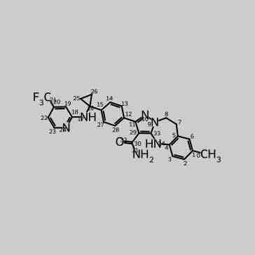 Cc1ccc2c(c1)CCn1nc(-c3ccc(C4(Nc5cc(C(F)(F)F)ccn5)CC4)cc3)c(C(N)=O)c1N2